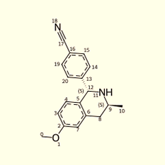 COc1ccc2c(c1)C[C@H](C)N[C@H]2c1ccc(C#N)cc1